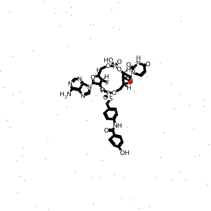 Nc1ncnc2c1ncn2[C@@H]1O[C@@H]2COP(=O)(O)O[C@@H]3[C@H](F)[C@@H](COP(=O)(SCc4ccc(NC(=O)c5ccc(O)cc5)cc4)O[C@@H]1[C@@H]2F)O[C@H]3n1ccc(=O)[nH]c1=O